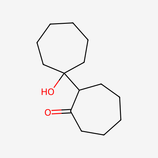 O=C1CCCCCC1C1(O)CCCCCC1